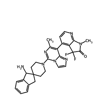 Cc1nc(N2CCC3(CC2)Cc2ccccc2C3N)n2ccnc2c1-c1ccnc2c1C(F)(F)C(=O)N2C